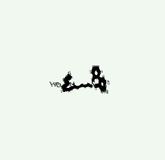 C=Cc1nc(CCCCCN2Cc3ccccc3C3C=CC=CC3C2)ccc1O